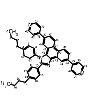 CCCCC1=CC=C(n2c(-c3ccc(CCCC)cc3)nc3c4cc(-c5ccncc5)ccc4c4ccc(-c5ccncc5)cc4c32)CC1